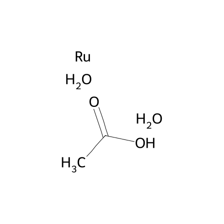 CC(=O)O.O.O.[Ru]